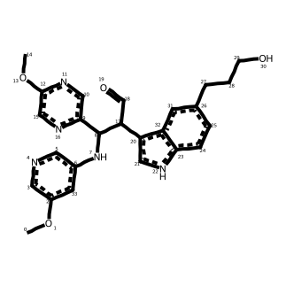 COc1cncc(NC(c2cnc(OC)cn2)C(C=O)c2c[nH]c3ccc(CCCO)cc23)c1